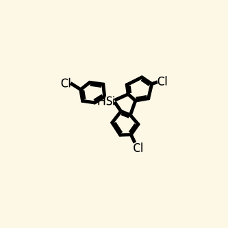 Clc1ccc([SiH]2c3ccc(Cl)cc3-c3cc(Cl)ccc32)cc1